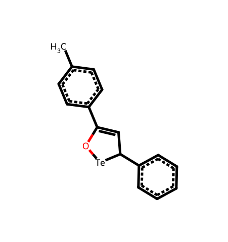 Cc1ccc(C2=CC(c3ccccc3)[Te]O2)cc1